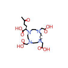 CC(=O)CC[C@H](C(=O)O)N1CCN(CC(=O)O)CCN(CC(=O)O)CCN(CC(=O)O)CC1